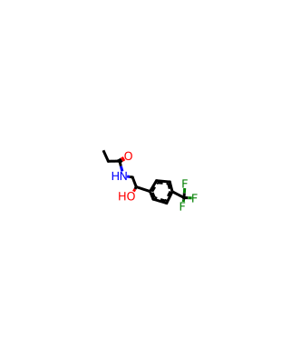 CCC(=O)NCC(O)c1ccc(C(F)(F)F)cc1